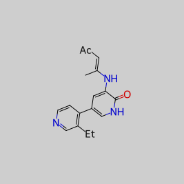 CCc1cnccc1-c1c[nH]c(=O)c(N/C(C)=C/C(C)=O)c1